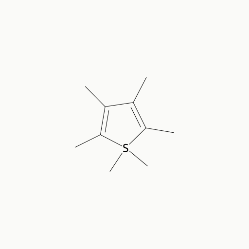 CC1=C(C)S(C)(C)C(C)=C1C